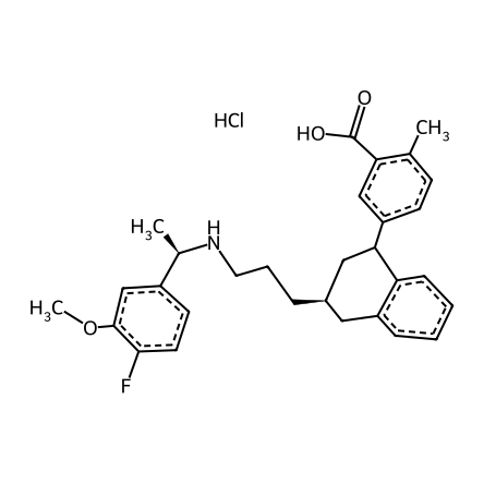 COc1cc([C@@H](C)NCCC[C@@H]2Cc3ccccc3C(c3ccc(C)c(C(=O)O)c3)C2)ccc1F.Cl